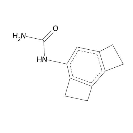 NC(=O)Nc1cc2c(c3c1CC3)CC2